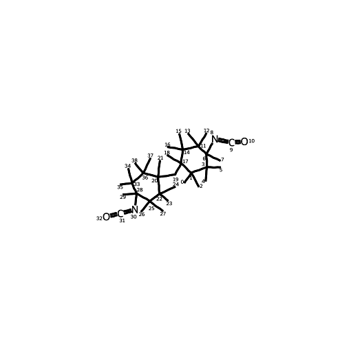 CC1(C)C(C)(C)C(C)(N=C=O)C(C)(C)C(C)(C)C1(C)CC1(C)C(C)(C)C(C)(C)C(C)(N=C=O)C(C)(C)C1(C)C